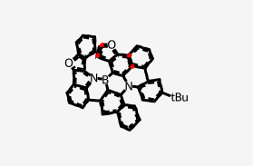 CC(C)(C)c1ccc(N2c3ccc4oc5ccccc5c4c3B3c4c(cc5ccccc5c42)-c2cccc4c5oc6ccccc6c5n3c24)c(-c2ccccc2)c1